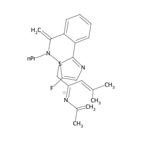 C=C(C)/N=C(\C=C(C)C)CCN(CCC)C(=C)c1ccccc1-c1ncc(F)s1